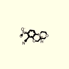 N#Cc1c([N+](=O)[O-])ccc2c1OC[C@H]1COCCN21